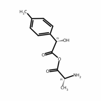 Cc1ccc([C@H](O)C(=O)OC(=O)[C@@H](C)N)cc1